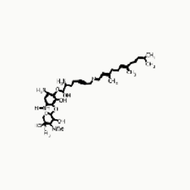 CCNC1CC(N)C(OC(O)C(N)CCC#CC/N=C/C=C(\C)CC/C=C(\C)CCC=C(C)C)C(O)C1OC1OCC(C)(O)C(NC)C1O